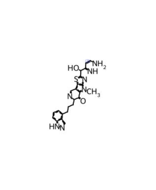 Cn1c2c(c3sc(C(O)C(=N)/C=C\N)nc31)C=NC(CCCc1cccc3[nH]ncc13)C2=O